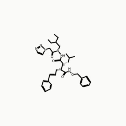 CCC(CC)CN(NC(=O)[C@H](CC(C)C)[C@H](CC=Cc1ccccc1)C(=O)NOCc1ccccc1)C(=O)Cn1ccnn1